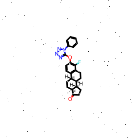 C[C@]12CC[C@@H]3c4ccc(Oc5nnnn5-c5ccccc5)c(F)c4CC[C@H]3[C@@H]1CCC2=O